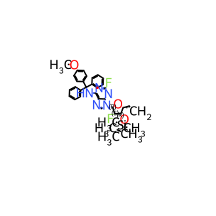 C=C[C]1O[C@@H](n2cnc3c(NC(c4ccccc4)(c4ccccc4)c4ccc(OC)cc4)nc(F)nc32)[C@@H](F)[C@@H]1O[Si](C)(C)C(C)(C)C